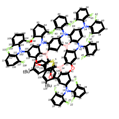 CC(C)(C)c1ccc2sc3c(c2c1)Oc1cc(N(c2c(F)cccc2F)c2c(F)cccc2F)cc2c1B3c1cc3c(cc1O2)N(c1c(F)cccc1F)c1cc(N(c2c(F)cccc2F)c2c(F)cccc2F)cc2c1B3c1cc3c(cc1N2c1c(F)cccc1F)N(c1c(F)cccc1F)c1cc(N(c2c(F)cccc2F)c2c(F)cccc2F)cc2c1B3c1sc3ccc(C(C)(C)C)cc3c1O2